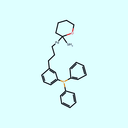 [SiH3][C]1([Pd][CH2]CCc2cccc(P(c3ccccc3)c3ccccc3)c2)CCCCO1